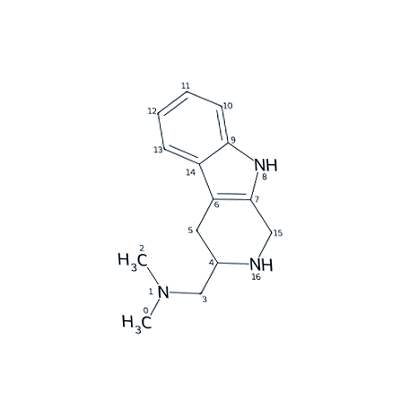 CN(C)CC1Cc2c([nH]c3ccccc23)CN1